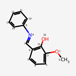 COc1cccc(/C=N/c2ccccc2)c1O